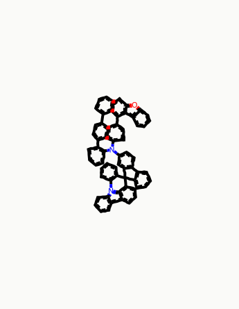 c1ccc(-c2ccc(-c3ccccc3N(c3ccc(-c4cccc5oc6ccccc6c45)cc3)c3ccc4c(c3)C3(c5ccccc5-4)c4ccccc4-n4c5ccccc5c5cccc3c54)cc2)cc1